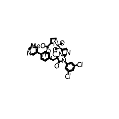 COC(=O)C1CCN1S(=O)(=O)c1cnc2n1C(C)(Cc1ccc(-c3cncnc3)cc1)C(=O)N2c1cc(Cl)cc(Cl)c1